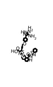 Nc1[nH]nc(-c2ccc(OCC#Cc3sc(N4CCc5cccc(C(=O)Nc6nc7ccccc7s6)c5C4)nc3C(=O)O)cc2)c1N